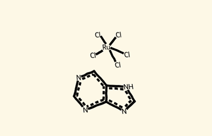 [Cl][Ru]([Cl])([Cl])([Cl])[Cl].c1ncc2[nH]cnc2n1